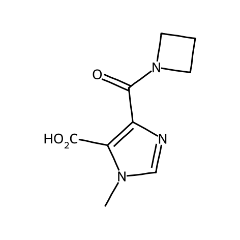 Cn1cnc(C(=O)N2CCC2)c1C(=O)O